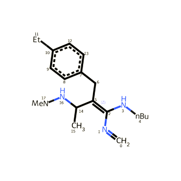 C=N/C(NCCCC)=C(/Cc1ccc(CC)cc1)C(C)NNC